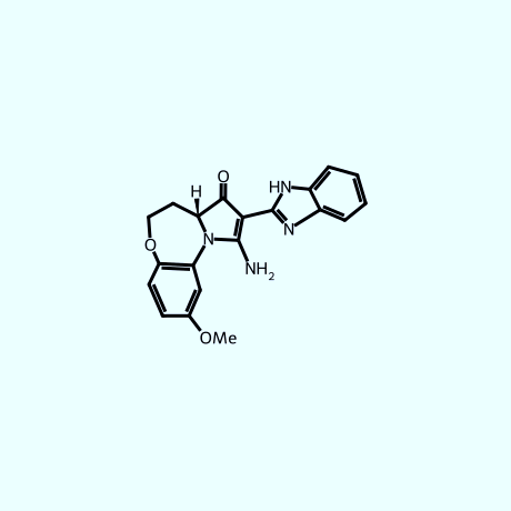 COc1ccc2c(c1)N1C(N)=C(c3nc4ccccc4[nH]3)C(=O)[C@H]1CCO2